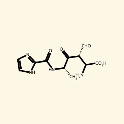 C[C@H](NC(=O)c1ncc[nH]1)C(=O)[C@H](C=O)C(N)C(=O)O